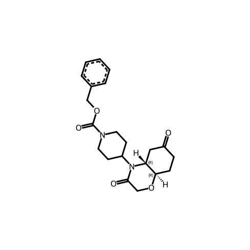 O=C1CC[C@H]2OCC(=O)N(C3CCN(C(=O)OCc4ccccc4)CC3)[C@@H]2C1